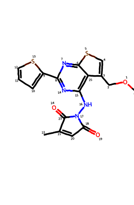 COCc1csc2nc(-c3cccs3)nc(NN3C(=O)C=C(C)C3=O)c12